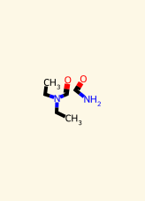 CCN(C=O)CC.NC=O